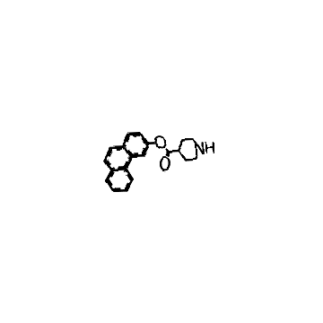 O=C(Oc1ccc2ccc3ccccc3c2c1)C1CCNCC1